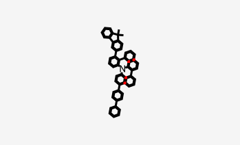 CC1(C)c2ccccc2-c2cc(-c3cccc(N(c4ccc(-c5ccc(-c6ccccc6)cc5)cc4)c4ccccc4-c4ccccc4)c3-c3ccccc3)ccc21